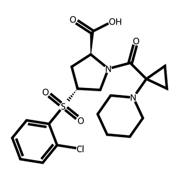 O=C(O)[C@@H]1C[C@@H](S(=O)(=O)c2ccccc2Cl)CN1C(=O)C1(N2CCCCC2)CC1